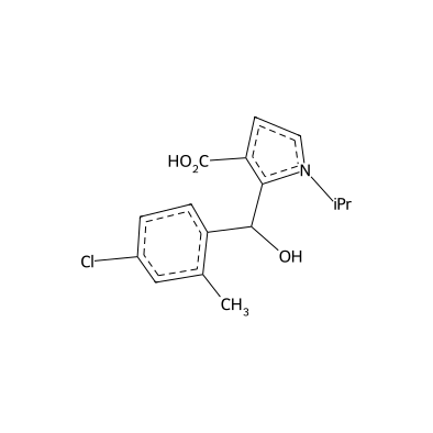 Cc1cc(Cl)ccc1C(O)c1c(C(=O)O)ccn1C(C)C